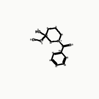 [CH2-][CH+]C1(O)CCCN(C(=O)c2ccccc2)C1